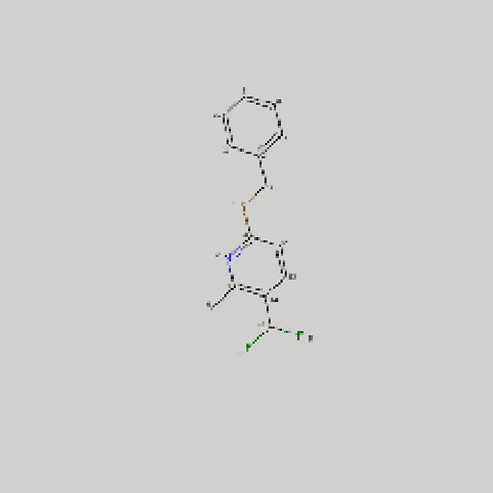 Cc1nc(SCc2ccccc2)ccc1C(F)F